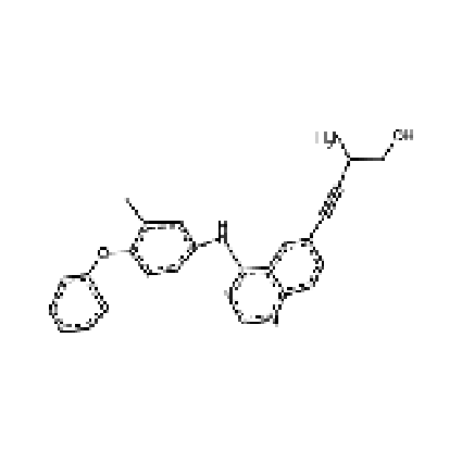 Cc1cc(Nc2ncnc3ccc(C#CC(N)CO)cc23)ccc1Oc1ccccc1